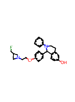 Oc1ccc2c(c1)CCN(c1ccccc1)C2c1ccc(OCCN2CC(CF)C2)cc1